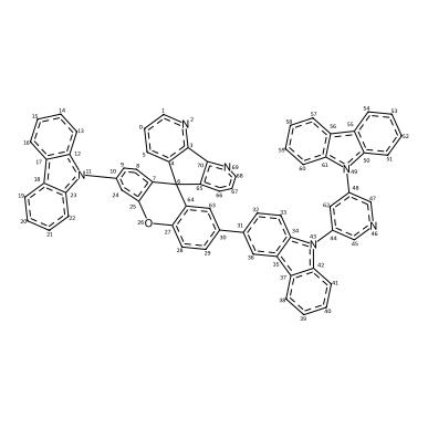 c1cnc2c(c1)C1(c3ccc(-n4c5ccccc5c5ccccc54)cc3Oc3ccc(-c4ccc5c(c4)c4ccccc4n5-c4cncc(-n5c6ccccc6c6ccccc65)c4)cc31)c1cccnc1-2